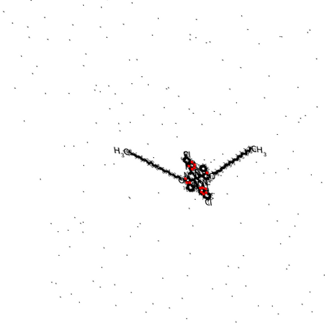 [C-]#[N+]/C(c1cnc2cc(Cl)ccc2n1)=c1\c2c(-c3ccc(OCCCCCCCCCCCCCCCCCCCC)cc3)n(B(c3ccccc3)c3ccccc3)/c(=C(/C#N)c3cnc4cc(Cl)ccc4n3)c2c(-c2ccc(OCCCCCCCCCCCCCCCCCCCC)cc2)n1B(c1ccccc1)c1ccccc1